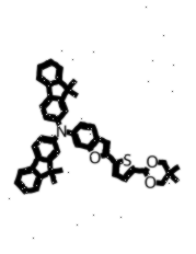 CC1(C)COC(c2ccc(-c3cc4ccc(N(c5ccc6c(c5)C(C)(C)c5ccccc5-6)c5ccc6c(c5)C(C)(C)c5ccccc5-6)cc4o3)s2)OC1